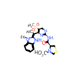 CCN1C(=C(C#N)c2nc(NC(=O)[C@H]3CSCN3C(=O)O)ncc2S(C)(=O)=O)Nc2ccccc21